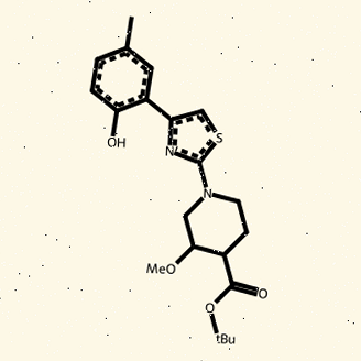 COC1CN(c2nc(-c3cc(C)ccc3O)cs2)CCC1C(=O)OC(C)(C)C